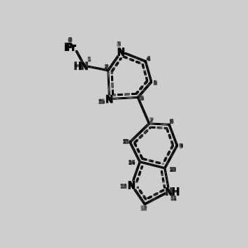 CC(C)Nc1nccc(-c2ccc3[nH]cnc3c2)n1